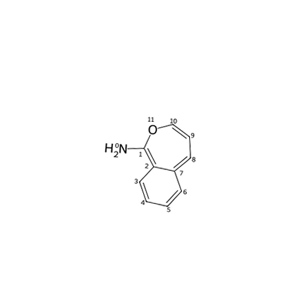 NC1=c2ccccc2=CC=CO1